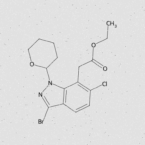 CCOC(=O)Cc1c(Cl)ccc2c(Br)nn(C3CCCCO3)c12